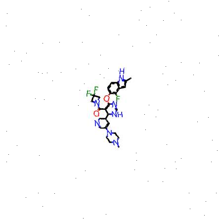 Cc1cc2c(F)c(OC3=C(C(=O)N4CC(F)(F)C4)C(C4C=C(N5CCN(C)CC5)C=NC4)NC=N3)ccc2[nH]1